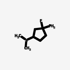 CN(C)C1CCC(F)(P)C1